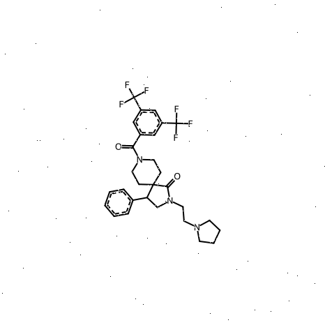 O=C(c1cc(C(F)(F)F)cc(C(F)(F)F)c1)N1CCC2(CC1)C(=O)N(CCN1CCCC1)CC2c1ccccc1